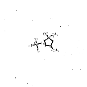 CC[N+]1(C)CCC(C)C1.F[B-](F)(F)F